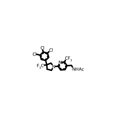 CC(=O)NCc1ccc(N2CCC(c3cc(Cl)c(Cl)c(Cl)c3)(C(F)(F)F)C2)nc1C(F)(F)F